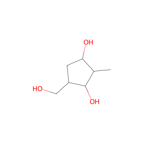 CC1C(O)CC(CO)C1O